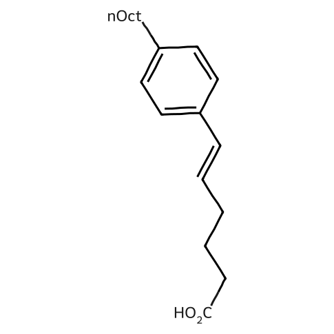 CCCCCCCCc1ccc(C=CCCCC(=O)O)cc1